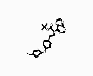 CCc1ccc(Oc2ccc(CCN(C(=O)OC(C)(C)C)c3ncnc4nccnc34)cc2)cc1